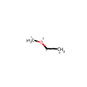 C[CH]OC